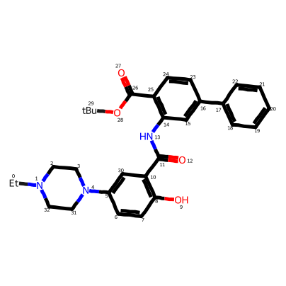 CCN1CCN(c2ccc(O)c(C(=O)Nc3cc(-c4ccccc4)ccc3C(=O)OC(C)(C)C)c2)CC1